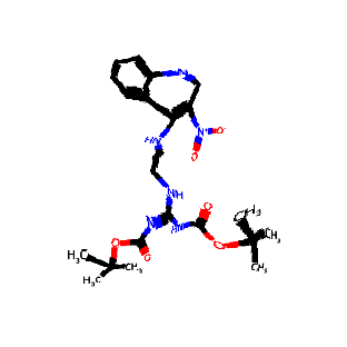 CC(C)(C)OC(=O)N=C(NCCNc1c([N+](=O)[O-])cnc2ccccc12)NC(=O)OC(C)(C)C